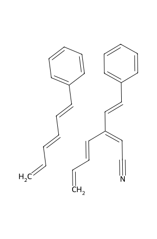 C=CC=CC(C=Cc1ccccc1)=CC#N.C=CC=CC=Cc1ccccc1